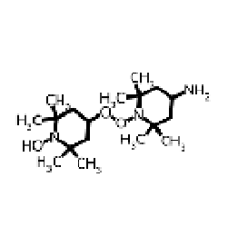 CC1(C)CC(OON2C(C)(C)CC(N)CC2(C)C)CC(C)(C)N1O